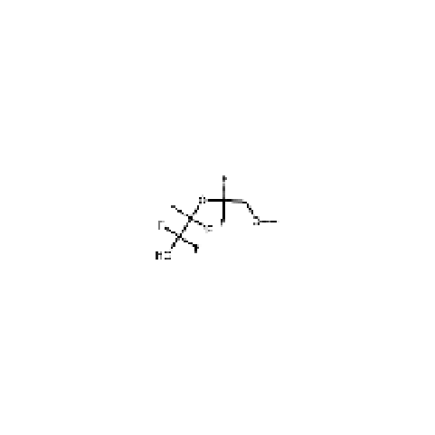 COCC(F)(F)OC(F)(F)C(O)(F)F